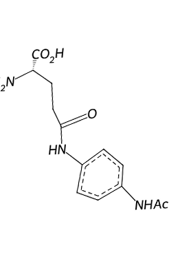 CC(=O)Nc1ccc(NC(=O)CC[C@H](N)C(=O)O)cc1